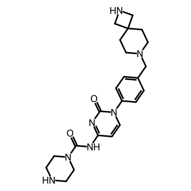 O=C(Nc1ccn(-c2ccc(CN3CCC4(CC3)CNC4)cc2)c(=O)n1)N1CCNCC1